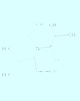 CCC(C(C)C)N(CC)C(=O)C(C)C